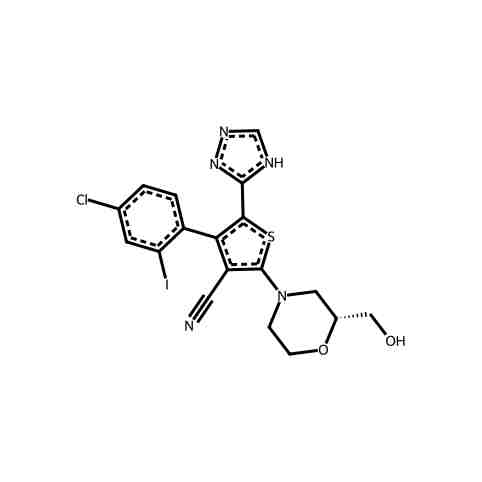 N#Cc1c(N2CCO[C@@H](CO)C2)sc(-c2nnc[nH]2)c1-c1ccc(Cl)cc1I